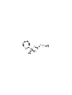 O=CC=NOS(=O)(=O)c1ccccc1